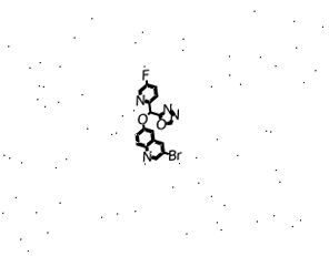 Fc1ccc(C(Oc2ccc3ncc(Br)cc3c2)c2nnco2)nc1